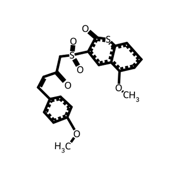 COc1ccc(/C=C\C(=O)CS(=O)(=O)c2cc3c(OC)cccc3sc2=O)cc1